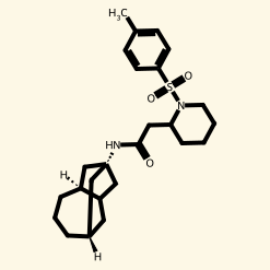 Cc1ccc(S(=O)(=O)N2CCCCC2CC(=O)N[C@@]23CC4C[C@H](CCC[C@H]4C2)C3)cc1